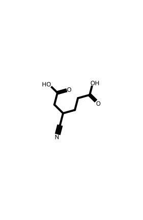 N#CC(CCC(=O)O)CC(=O)O